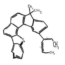 C/C=C\C(=C/C)c1ccc2c(c1)-c1c(ccc3ccc4c5ccccc5sc4c13)C2(C)C